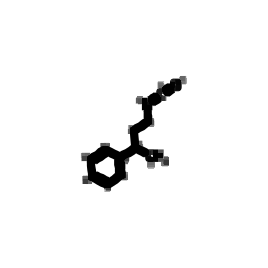 CC(CCN=C=O)c1ccccc1